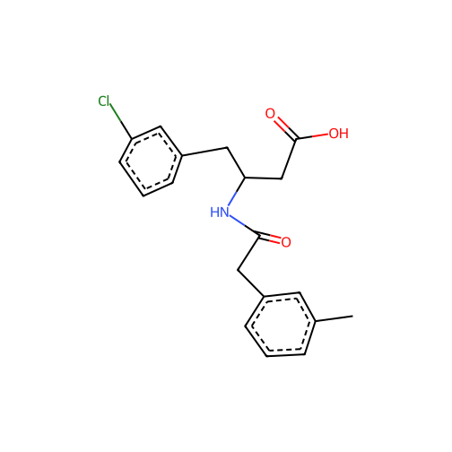 Cc1cccc(CC(=O)NC(CC(=O)O)Cc2cccc(Cl)c2)c1